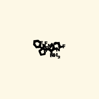 Nc1c(N2CCCC2(c2ccccc2)C(F)(F)F)nn2ccc(F)nc12